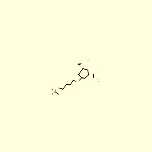 COC(=O)[C@@H]1CC(NCCCCO[Si](C)(C)C(C)(C)C)C[C@H](C(=O)OC)C1